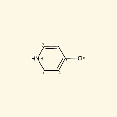 ClC1=CCN[C]=C1